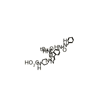 CC(C)(C)NS(=O)(=O)c1cc(NC(=O)NCc2ccccc2)ccc1-c1cnc(N2CCC(NC(=O)O)CC2)s1